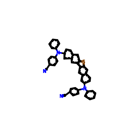 N#Cc1ccc(N(c2ccccc2)c2ccc3cc4sc5cc6ccc(N(c7ccccc7)c7ccc(C#N)cc7)cc6cc5c4cc3c2)cc1